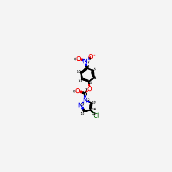 O=C(Oc1ccc([N+](=O)[O-])cc1)n1cc(Cl)cn1